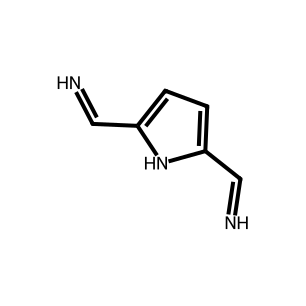 N=Cc1ccc(C=N)[nH]1